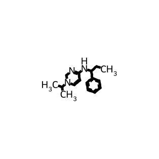 CCC(NC1=NCN(C(C)C)C=C1)c1ccccc1